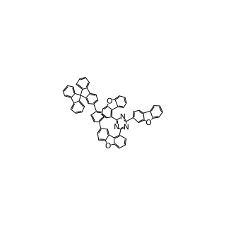 c1ccc2c(c1)-c1ccccc1C21c2ccccc2-c2ccc(-c3ccc(-c4ccc5oc6cccc(-c7nc(-c8ccc9c(c8)oc8ccccc89)nc(-c8cccc9oc%10ccccc%10c89)n7)c6c5c4)cc3)cc21